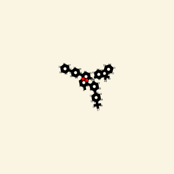 Cc1ccccc1-c1cc(-c2ccc(C(C)(C)C)cc2)ccc1N(c1ccc(-c2ccc(-c3ccccc3)cc2)cc1)c1ccc2c(c1)C(C)(C)c1ccccc1-2